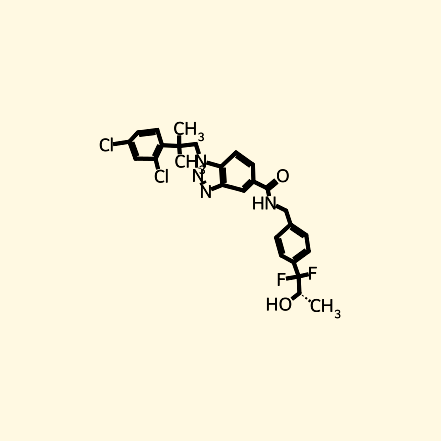 C[C@H](O)C(F)(F)c1ccc(CNC(=O)c2ccc3c(c2)nnn3CC(C)(C)c2ccc(Cl)cc2Cl)cc1